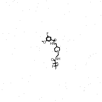 COc1cc(F)cc(C(=O)NCC2CCN(CCNC(=O)C(C)(C)C(F)(F)F)CC2)c1